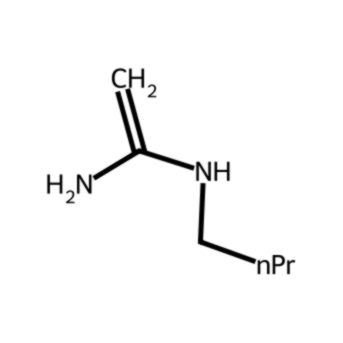 C=C(N)NCCCC